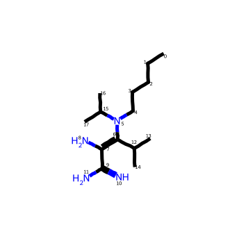 CCCCCN(/C(=C(\N)C(=N)N)C(C)C)C(C)C